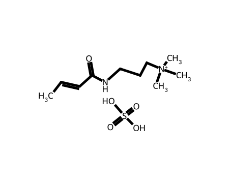 CC=CC(=O)NCCC[N+](C)(C)C.O=S(=O)(O)O